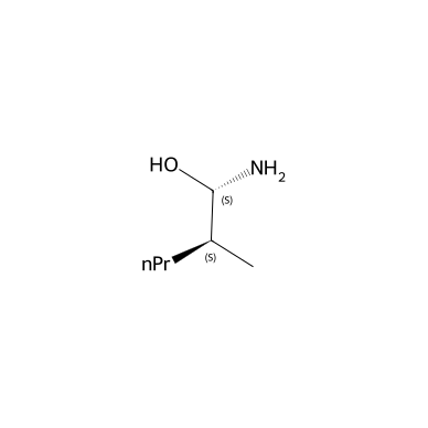 CCC[C@H](C)[C@@H](N)O